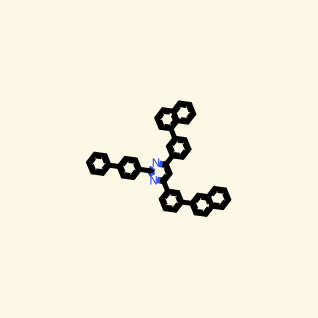 c1ccc(-c2ccc(-c3nc(-c4cccc(-c5ccc6ccccc6c5)c4)cc(-c4cccc(-c5cccc6ccccc56)c4)n3)cc2)cc1